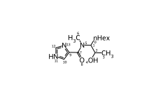 CCCCCCC(C(C)O)N(C)C(=O)c1c[nH]cn1